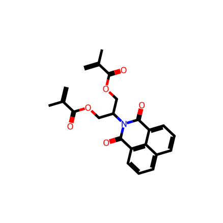 C=C(C)C(=O)OCC(COC(=O)C(=C)C)N1C(=O)c2cccc3cccc(c23)C1=O